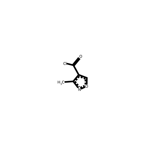 Cc1nocc1C(=O)Cl